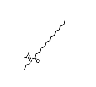 CCCCCCCCCCCCCC(=O)N(CCC)N(C)C